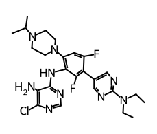 CCN(CC)c1ncc(-c2c(F)cc(N3CCN(C(C)C)CC3)c(Nc3ncnc(Cl)c3N)c2F)cn1